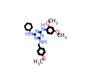 COc1ccc(CNc2nc(Nc3ccc(OC)cc3OC)nc(NC3CCCCC3)n2)cc1